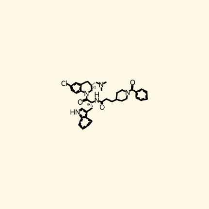 CN(C)C[C@H]1Cc2cc(Cl)ccc2N(C(=O)[C@@H](Cc2c[nH]c3ccccc23)NC(=O)CCC2CCN(C(=O)c3ccccc3)CC2)C1